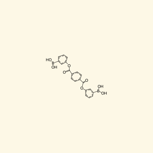 O=C(Oc1cccc(B(O)O)c1)c1ccc(C(=O)Oc2cccc(B(O)O)c2)cc1